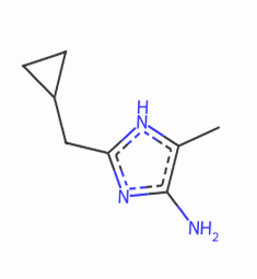 Cc1[nH]c(CC2CC2)nc1N